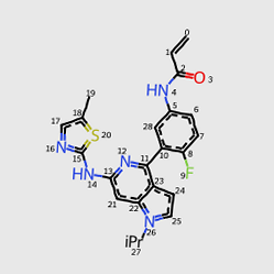 C=CC(=O)Nc1ccc(F)c(-c2nc(Nc3ncc(C)s3)cc3c2ccn3C(C)C)c1